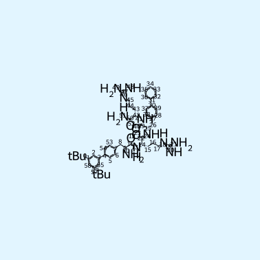 CC(C)(C)c1cc(-c2ccc(C[C@H](N)C(=O)N[C@@H](CCCNC(=N)N)C(=O)N[C@@H](Cc3ccc(-c4ccccc4)cc3)C(=O)N[C@@H](CCCNC(=N)N)C(N)=O)cc2)cc(C(C)(C)C)c1